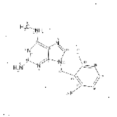 CNc1nc(N)nc2c1ncn2Cc1c(F)cccc1F